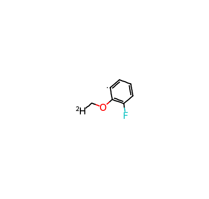 [2H]COc1[c]cccc1F